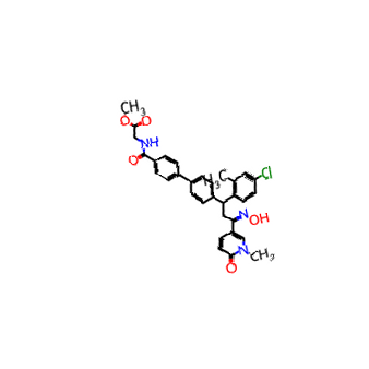 COC(=O)CNC(=O)c1ccc(-c2ccc(C(CC(=NO)c3ccc(=O)n(C)c3)c3ccc(Cl)cc3C)cc2)cc1